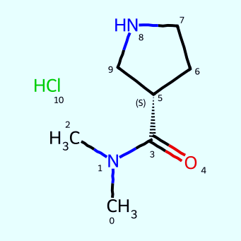 CN(C)C(=O)[C@H]1CCNC1.Cl